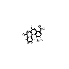 CC(=Nc1ccccc1C(=O)[O-])C(C)=Nc1ccccc1C(=O)[O-].[Zn+2]